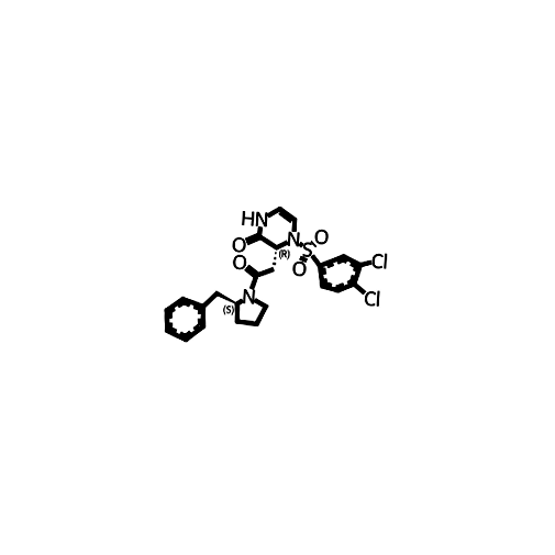 O=C1NC=CN(S(=O)(=O)c2ccc(Cl)c(Cl)c2)[C@@H]1CC(=O)N1CCC[C@H]1Cc1ccccc1